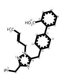 CC=CCn1nc(CC(C)C)nc1Cc1ccc(-c2ccccc2C(=O)O)cc1